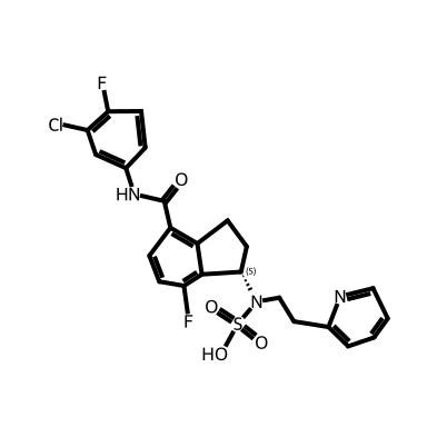 O=C(Nc1ccc(F)c(Cl)c1)c1ccc(F)c2c1CC[C@@H]2N(CCc1ccccn1)S(=O)(=O)O